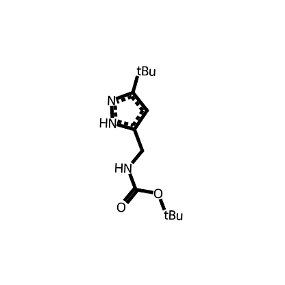 CC(C)(C)OC(=O)NCc1cc(C(C)(C)C)n[nH]1